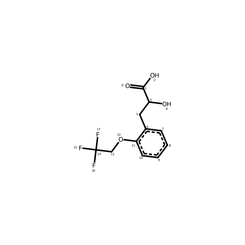 O=C(O)C(O)Cc1ccccc1OCC(F)(F)F